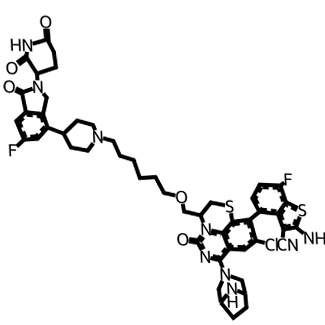 N#Cc1c(N)sc2c(F)ccc(-c3c(Cl)cc4c(N5CC6CCC(C5)N6)nc(=O)n5c4c3SCC5COCCCCCCN3CCC(c4cc(F)cc5c4CN(C4CCC(=O)NC4=O)C5=O)CC3)c12